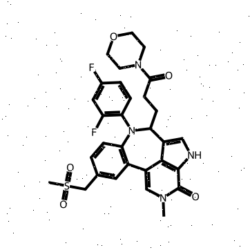 Cn1cc2c3c(c[nH]c3c1=O)C(CCC(=O)N1CCOCC1)N(c1ccc(F)cc1F)c1ccc(CS(C)(=O)=O)cc1-2